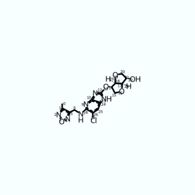 Cc1nonc1CNc1nc2nc(O[C@@H]3CO[C@H]4[C@@H]3OC[C@H]4O)[nH]c2cc1Cl